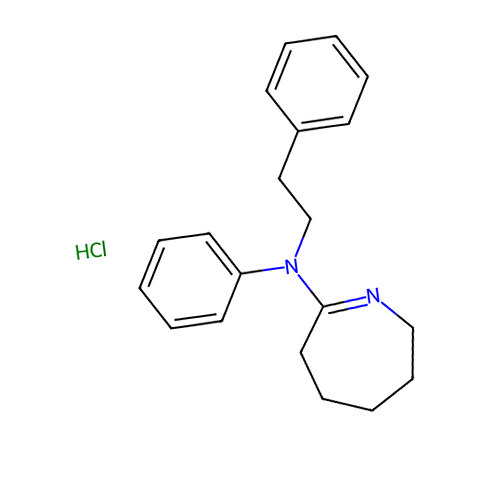 Cl.c1ccc(CCN(C2=NCCCCC2)c2ccccc2)cc1